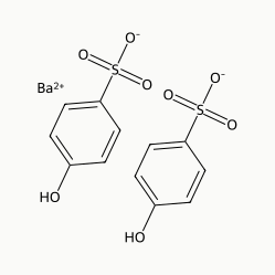 O=S(=O)([O-])c1ccc(O)cc1.O=S(=O)([O-])c1ccc(O)cc1.[Ba+2]